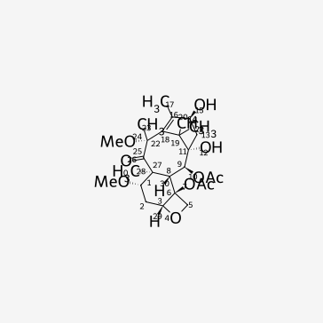 CO[C@H]1C[C@H]2OC[C@@]2(OC(C)=O)[C@H]2[C@H](OC(C)=O)[C@]3(O)C[C@H](O)C(C)=C(C3(C)C)[C@@](C)(OC)C(=O)[C@]12C